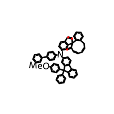 C=C1/C=C\C=C/Cc2ccccc2C12c1ccccc1-c1ccc(N(c3ccc(-c4ccccc4)cc3)c3ccc4c(c3)C(c3ccccc3)(c3ccc(OC)cc3)c3ccccc3-4)cc12